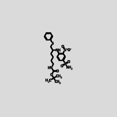 CC(C)(C)OC(=O)NCCCCC(CSc1ccccc1)Nc1ccc(S(N)(=O)=O)cc1[N+](=O)[O-]